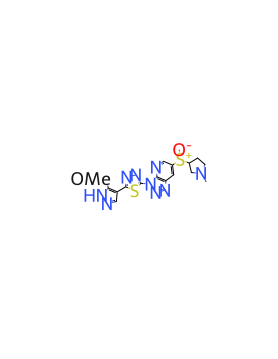 COc1[nH]ncc1-c1nnc(-n2nnc3cc([S+]([O-])C4CCN(C)C4)cnc32)s1